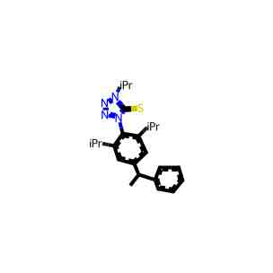 CC(C)c1cc(C(C)c2ccccc2)cc(C(C)C)c1-n1nnn(C(C)C)c1=S